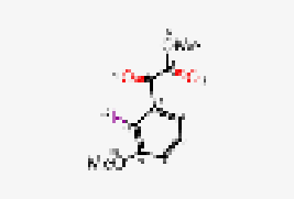 COC(=O)C(=O)c1cccc(OC)c1I